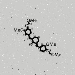 COCOc1ccc(C=C2CCCC(=Cc3ccc(OCOC)c(OC)c3)C2=O)cc1OC